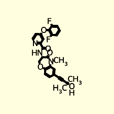 CN1C(=O)[C@@H](NC(=O)c2cc(Oc3c(F)cccc3F)ccn2)COc2ccc(C#CC(C)(C)O)cc21